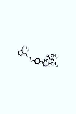 C=C(/C=N\Nc1ccc(OCCCN2CCC[C@H]2C)cc1)NS(C)(=O)=O